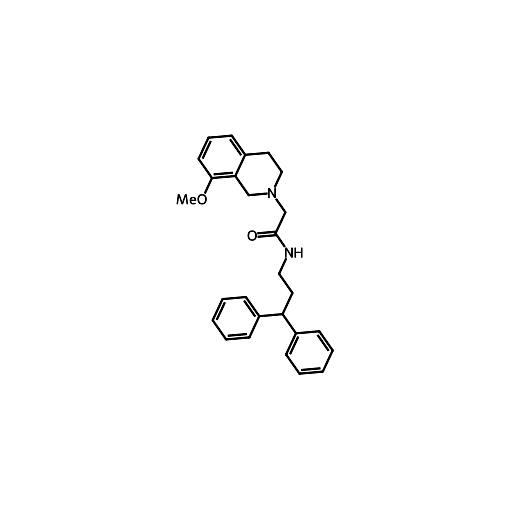 COc1cccc2c1CN(CC(=O)NCCC(c1ccccc1)c1ccccc1)CC2